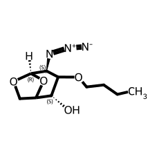 CCCCOC1[C@H](O)C2CO[C@H](O2)[C@H]1N=[N+]=[N-]